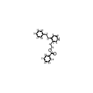 O=C(OCCc1cnccc1CCc1ccccc1)c1ccccc1